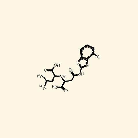 CC(C)CC(NC(CC(=O)Nc1nc2c(Cl)cccc2s1)C(=O)O)C(=O)O